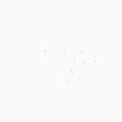 COC(=O)c1cc2c(C3=CCN(C(=O)OC(C)(C)C)CC3)ccc(O)c2cn1